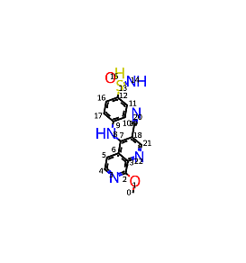 COc1nccc2c(Nc3ccc([SH](=N)=O)cc3)c(C#N)cnc12